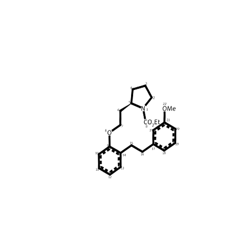 CCOC(=O)N1CCC[C@@H]1CCOc1ccccc1CCc1cccc(OC)c1